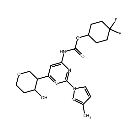 Cc1ccn(-c2nc(NC(=O)OC3CCC(F)(F)CC3)cc(C3COCCC3O)n2)n1